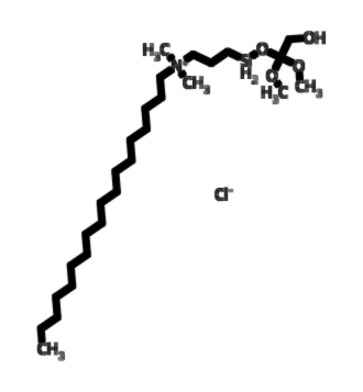 CCCCCCCCCCCCCCCCCC[N+](C)(C)CCC[SiH2]OC(CO)(OC)OC.[Cl-]